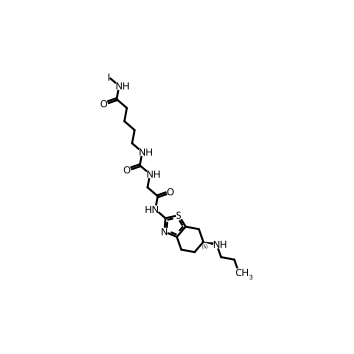 CCCN[C@H]1CCc2nc(NC(=O)CNC(=O)NCCCCC(=O)NI)sc2C1